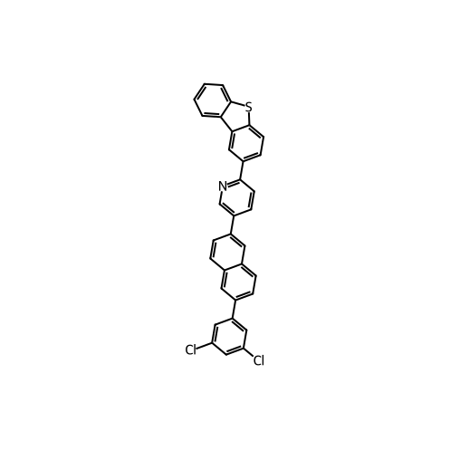 Clc1cc(Cl)cc(-c2ccc3cc(-c4ccc(-c5ccc6sc7ccccc7c6c5)nc4)ccc3c2)c1